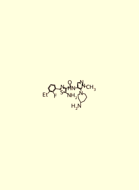 CCc1cccc(-c2nc(C(=O)Nc3cnn(C)c3N3CCCC(N)CC3)c(N)s2)c1F